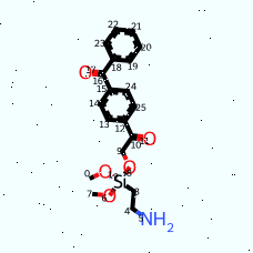 CO[Si](CCN)(OC)OCC(=O)c1ccc(C(=O)c2ccccc2)cc1